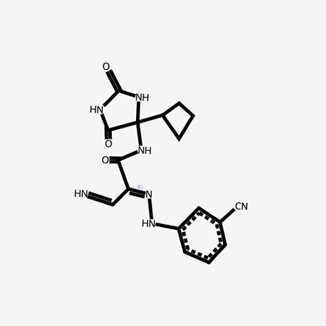 N#Cc1cccc(N/N=C(\C=N)C(=O)NC2(C3CCC3)NC(=O)NC2=O)c1